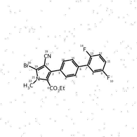 CCOC(=O)c1c(-c2ccc(-c3cc(F)ccc3F)cc2)c(C#N)c(Br)n1C